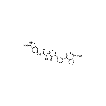 COC(=O)C1CCCN1C(=O)c1cccc(N2CCO[C@H]([C@@H](O)C(=O)Nc3ccc4c(c3)CNC4=N)C2=O)c1